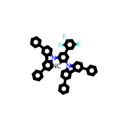 N#Cc1c(-n2c3ccc(-c4ccccc4)cc3c3cc(-c4ccccc4)ccc32)cc(-c2cc(F)cc(F)c2F)cc1-n1c2ccc(-c3ccccc3)cc2c2cc(-c3ccccc3)ccc21